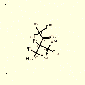 CC(F)(F)C(F)(C(=O)C(F)(F)F)C(F)(F)F